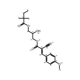 CCC(C)(C)C(=O)OCC(O)COC(=O)/C(C#N)=C/c1ccc(OC)cc1